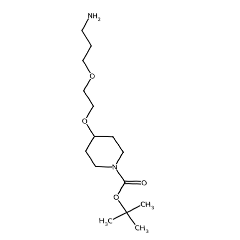 CC(C)(C)OC(=O)N1CCC(OCCOCCCN)CC1